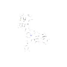 c1ccc(-c2ccc(N(c3ccc4c(c3)C3(c5ccccc5Oc5ccccc53)c3ccccc3-4)c3ccc4cc5c(cc4c3)-c3ccccc3C53c4ccccc4Sc4ccccc43)cc2)cc1